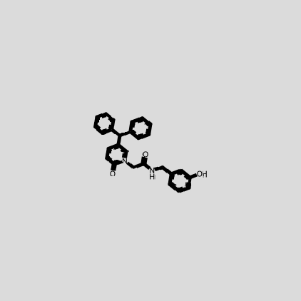 O=C(Cn1cc(C(c2ccccc2)c2ccccc2)ccc1=O)NCc1cccc(O)c1